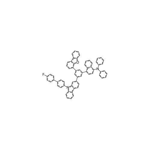 Fc1ccc(-c2ccc(-n3c4ccccc4c4ccc(-c5cc(-c6ccc(N(c7ccccc7)c7ccccc7)c7ccccc67)cc(-c6cccc7c6oc6ccccc67)c5)cc43)cc2)cc1